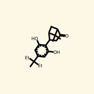 CCC(C)(CC)c1cc(O)c(C2CC(=O)C3CC2C3(C)C)c(O)c1